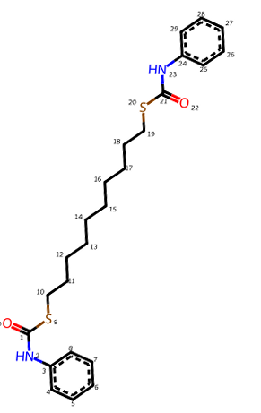 O=C(Nc1ccccc1)SCCCCCCCCCCSC(=O)Nc1ccccc1